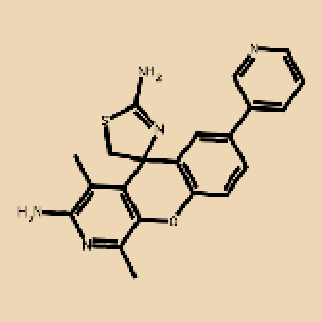 Cc1nc(N)c(C)c2c1Oc1ccc(-c3cccnc3)cc1C21CSC(N)=N1